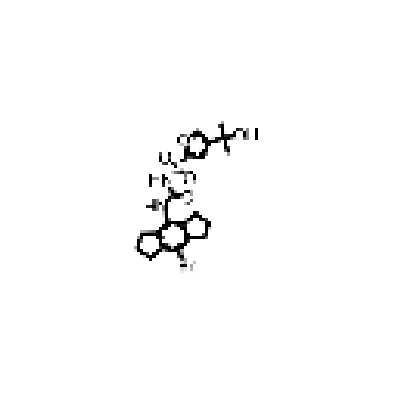 CC(C)(O)c1coc(S(=O)(=O)NC(=O)Nc2c3c(c(Br)c4c2CCC4)CCC3)c1